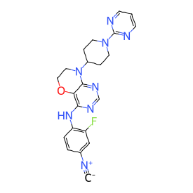 [C-]#[N+]c1ccc(Nc2ncnc3c2OCCN3C2CCN(c3ncccn3)CC2)c(F)c1